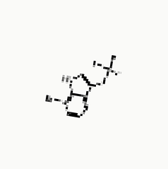 FC(F)(F)Cc1c[nH]c2c(Br)cccc12